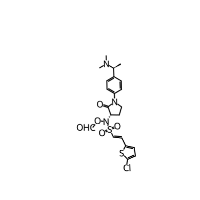 C[C@@H](c1ccc(N2CC[C@H](N(OC=O)S(=O)(=O)/C=C/c3ccc(Cl)s3)C2=O)cc1)N(C)C